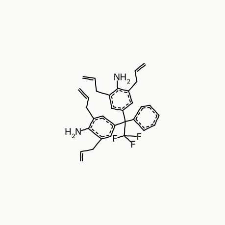 C=CCc1cc(C(c2ccccc2)(c2cc(CC=C)c(N)c(CC=C)c2)C(F)(F)F)cc(CC=C)c1N